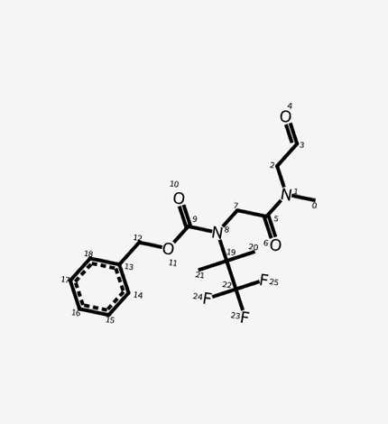 CN(CC=O)C(=O)CN(C(=O)OCc1ccccc1)C(C)(C)C(F)(F)F